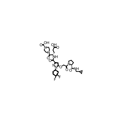 O=C(O)CC[C@H](NC(=O)c1cc(OCC(=O)N2CCC[C@H]2C(=O)NCC2CC2)n(-c2ccc(F)c(F)c2)n1)C(=O)N1CCN(C(=O)O)CC1